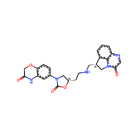 O=C1COc2ccc(N3C[C@H](CCNC[C@H]4Cn5c(=O)cnc6cccc4c65)OC3=O)cc2N1